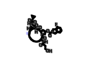 O=C(CCO)N[C@H]1CCCCC/C=C\[C@@H]2C[C@@]2(C(=O)NS(=O)(=O)C2CC2)NC(=O)C2C[C@@H](OC(=O)N3Cc4cccc(F)c4C3)CN2C1=O